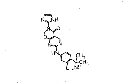 CC1(C)NCCc2cc(Nc3ncc4c(n3)OCN(c3ncc[nH]3)C4=O)ccc21